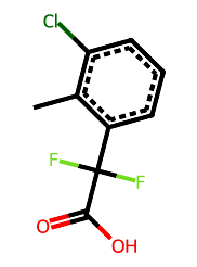 Cc1c(Cl)cccc1C(F)(F)C(=O)O